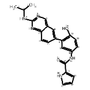 CC(C)Nc1ncc2cc(-c3cc(NC(=O)c4ccc[nH]4)ccc3O)ccc2n1